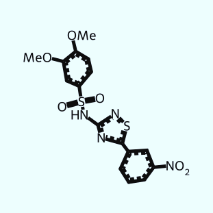 COc1ccc(S(=O)(=O)Nc2nsc(-c3cccc([N+](=O)[O-])c3)n2)cc1OC